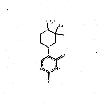 CC(C)(C)C1(C)CN(c2c[nH]c(=O)[nH]c2=O)CCN1C(=O)O